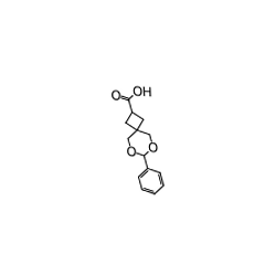 O=C(O)C1CC2(COC(c3ccccc3)OC2)C1